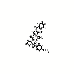 Cc1ccc(S(=O)(=O)N2CCC[C@H]2C(=O)N[C@H]2CN(Cc3ccccc3)C(=O)[C@H]2C)cc1